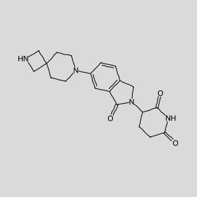 O=C1CCC(N2Cc3ccc(N4CCC5(CC4)CNC5)cc3C2=O)C(=O)N1